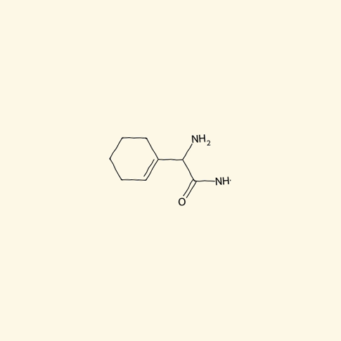 [NH]C(=O)C(N)C1=CCCCC1